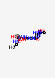 C#Cc1ccc(CNC(=O)[C@@H]2C[C@@H](O)CN2C(O)[C@@H](NC(=O)C2CCC3(CC2)CC(N2CCC(N4CCC(C(=O)N5CCN6c7cc(-c8ccccc8O)nnc7NC[C@H]6C5)CC4)CC2)C3)C(C)(C)C)cc1